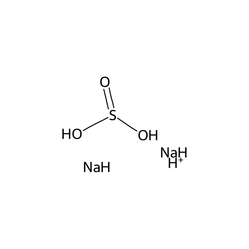 O=S(O)O.[H+].[NaH].[NaH]